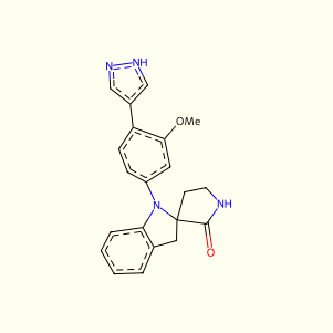 COc1cc(N2c3ccccc3CC23CCNC3=O)ccc1-c1cn[nH]c1